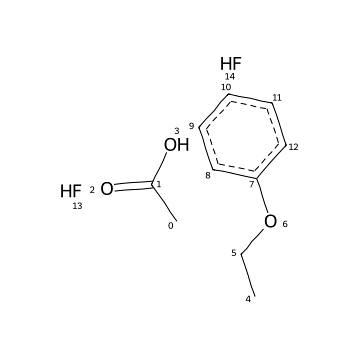 CC(=O)O.CCOc1ccccc1.F.F